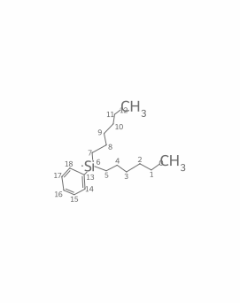 CCCCCC[Si](CCCCCC)c1ccccc1